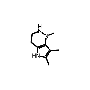 Cc1[nH]c2c(c1C)N(C)NCC2